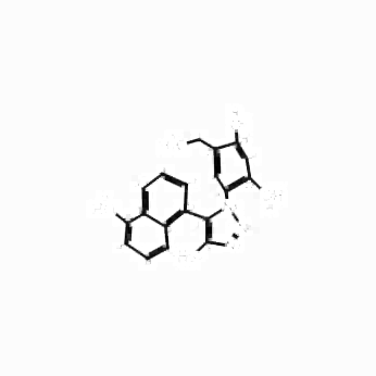 CCc1cc(-n2nnc(S)c2-c2cccc3c(O)cccc23)c(O)cc1O